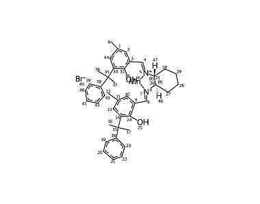 Cc1cc(C=[N+]2[Mn][N+](=Cc3cc(C)cc(C(C)(C)c4ccccc4)c3O)[C@@H]3CCCC[C@H]32)c(O)c(C(C)(C)c2ccccc2)c1.[Br-]